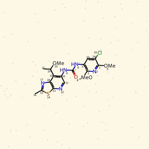 COc1nc(OC)c(NC(=O)Nc2cnc3sc(C)nc3c2C(C)OC)cc1Cl